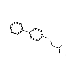 O=C(O)C(O)COc1ccc(-c2ccccc2)cc1